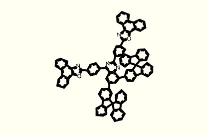 c1ccc2c(c1)-c1ccccc1C21c2ccccc2-c2ccc(-c3cc(-c4ccc5c(c4)C4(c6ccccc6-c6ccccc64)c4ccccc4-5)c4nc(-c5ccc(-c6nc7c8ccccc8c8ccccc8c7o6)cc5)nc(-c5ccc(-c6nc7c8ccccc8c8ccccc8c7o6)cc5)c4c3)cc21